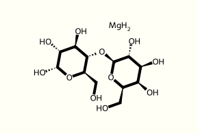 OC[C@H]1O[C@@H](O[C@H]2[C@H](O)[C@@H](O)[C@@H](O)O[C@@H]2CO)[C@H](O)[C@@H](O)[C@H]1O.[MgH2]